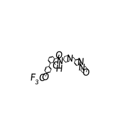 O=C(NC1CCN(Cc2ccc(N3CCOCC3)nc2)CC1)c1cccc(-c2ccc(OC(F)(F)F)cc2)c1Cl